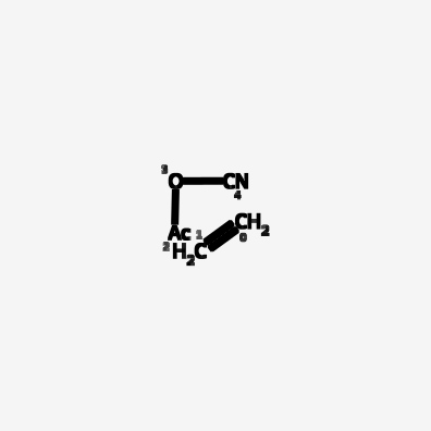 C=C.CC(=O)OC#N